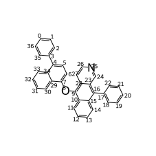 c1ccc(-c2ccc(Oc3c4ccccc4c(-c4ccccc4)c4cnccc34)c3ccccc23)cc1